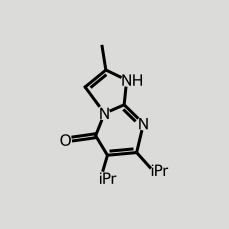 Cc1cn2c(=O)c(C(C)C)c(C(C)C)nc2[nH]1